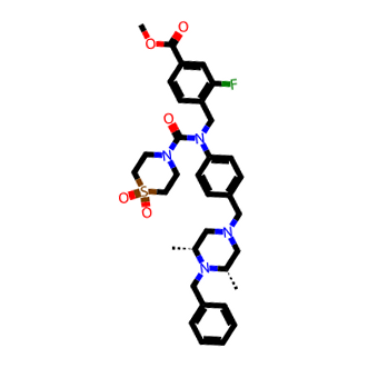 COC(=O)c1ccc(CN(C(=O)N2CCS(=O)(=O)CC2)c2ccc(CN3C[C@@H](C)N(Cc4ccccc4)[C@@H](C)C3)cc2)c(F)c1